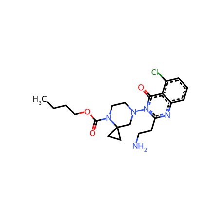 CCCCOC(=O)N1CCN(n2c(CCN)nc3cccc(Cl)c3c2=O)CC12CC2